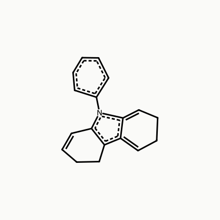 C1=Cc2c(c3c(n2-c2ccccc2)=CCCC=3)CC1